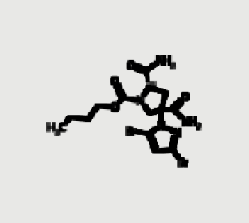 CCCCOC(=O)N1CC(C(N)=O)(n2nc(Br)cc2Br)C[C@H]1C(N)=O